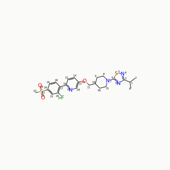 CC(C)c1nsc(N2CCC(COc3ccc(-c4ccc(S(C)(=O)=O)cc4F)nc3)CC2)n1